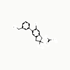 CC(C)Cc1cccc(-c2cc3c(cc2F)[C@H](OC(N)=O)C(C)(C)C3)c1